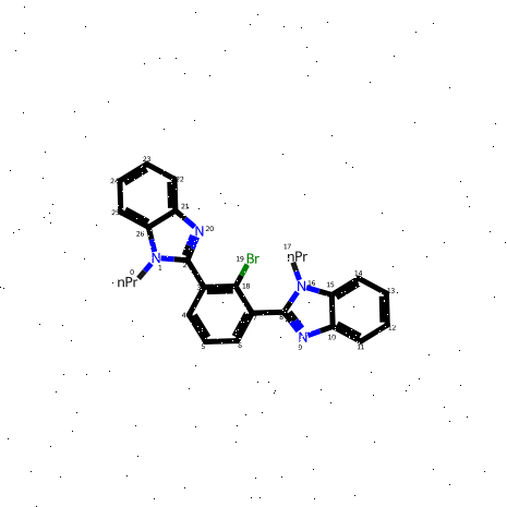 CCCn1c(-c2cccc(-c3nc4ccccc4n3CCC)c2Br)nc2ccccc21